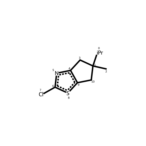 CC(C)C1(C)Cc2nc(Cl)sc2C1